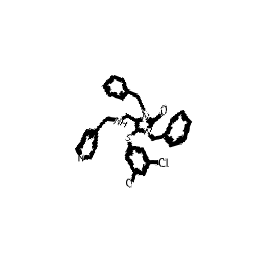 O=c1n(Cc2ccccc2)c(CNCc2ccncc2)c(Sc2cc(Cl)cc(Cl)c2)n1Cc1ccccc1